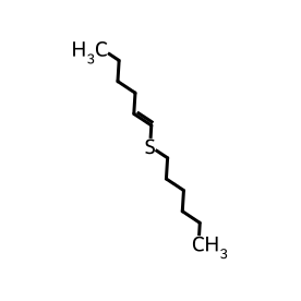 CCCCC=CSCCCCCC